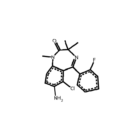 CN1C(=O)C(C)(C)N=C(c2ccccc2F)c2c1ccc(N)c2Cl